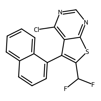 FC(F)c1sc2ncnc(Cl)c2c1-c1cccc2ccccc12